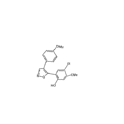 CCc1cc(-c2oncc2-c2ccc(OC)cc2)c(O)cc1OC